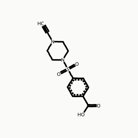 C#CN1CCN(S(=O)(=O)c2ccc(C(=O)O)cc2)CC1